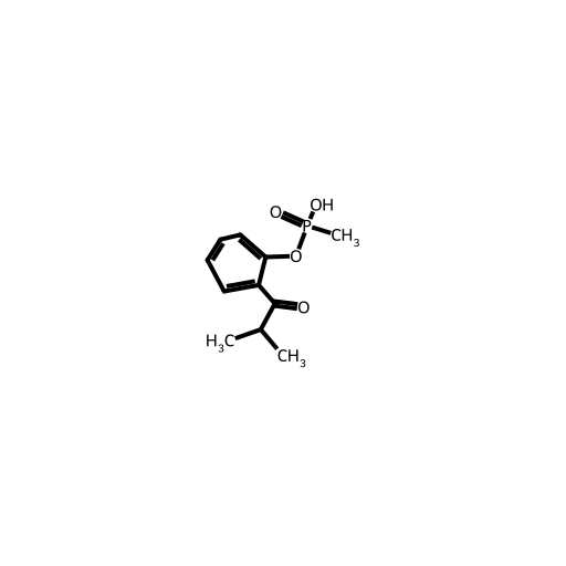 CC(C)C(=O)c1ccccc1OP(C)(=O)O